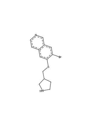 Brc1cc2cnccc2cc1SCC1CCNC1